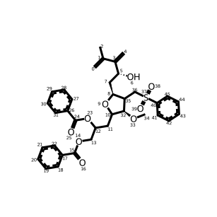 C=C(C)C(=C)[C@H](O)C[C@@H]1OC(CC(COC(=O)c2ccccc2)OC(=O)c2ccccc2)[C@H](OC)C1CS(=O)(=O)c1ccccc1